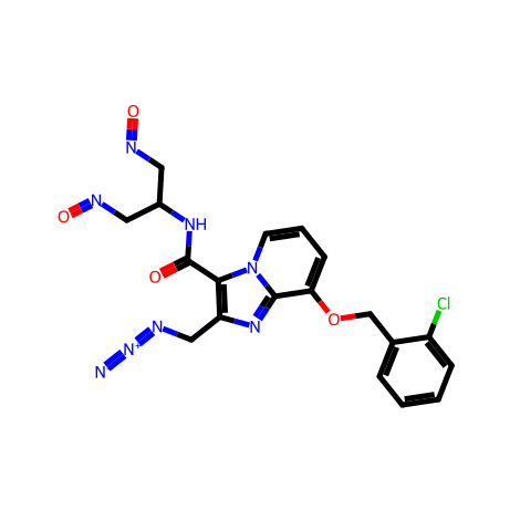 [N-]=[N+]=NCc1nc2c(OCc3ccccc3Cl)cccn2c1C(=O)NC(CN=O)CN=O